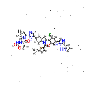 COC(=O)N[C@H](C(=O)N1[C@@H]2C[C@@H]2C[C@H]1c1ncc(-c2ccc3c(c2)cc2n3C(c3ccc(C4CC4)s3)Oc3cc(-c4cnc([C@@H]5CCCN5)[nH]4)cc(F)c3-2)[nH]1)C(C)C